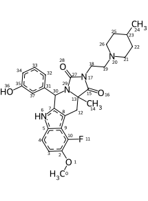 COc1ccc2[nH]c3c(c2c1F)CC1(C)C(=O)N(CCN2CCC(C)CC2)C(=O)N1C3c1cccc(O)c1